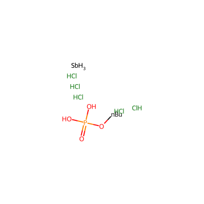 CCCCOP(=O)(O)O.Cl.Cl.Cl.Cl.Cl.[SbH3]